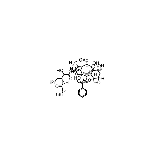 CC(=O)O[C@H]1C2=C(C)[C@@H](OC(=O)C(O)C(CC(C)C)NC(=O)OC(C)(C)C)C[C@@](O)([C@@H](OC(=O)c3ccccc3)[C@@H]3[C@]4(OC(C)=O)CO[C@@H]4C[C@H](O)[C@@]3(C)[C@H]1O)C2(C)C